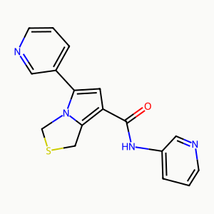 O=C(Nc1cccnc1)c1cc(-c2cccnc2)n2c1CSC2